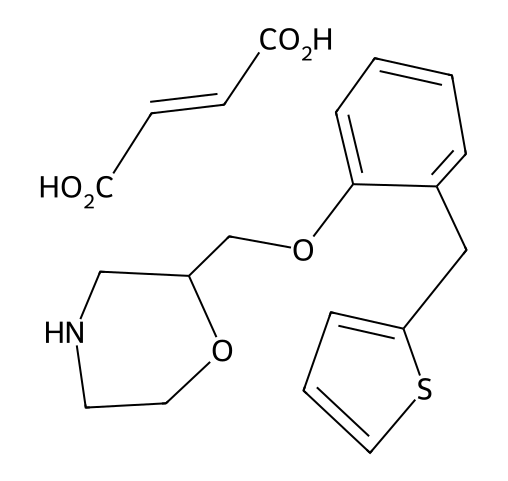 O=C(O)C=CC(=O)O.c1csc(Cc2ccccc2OCC2CNCCO2)c1